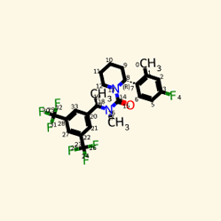 Cc1cc(F)ccc1[C@H]1CCCCN1C(=O)N(C)[C@H](C)c1cc(C(F)(F)F)cc(C(F)(F)F)c1